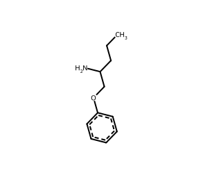 CCCC(N)COc1ccccc1